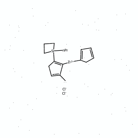 CCC[Si]1(C2=[C]([Zr+2][C]3=CC=CC3)C(C)=CC2)CCC1.[Cl-].[Cl-]